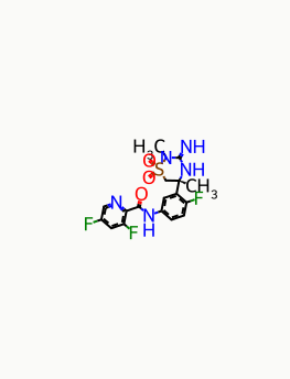 CN1C(=N)N[C@](C)(c2cc(NC(=O)c3ncc(F)cc3F)ccc2F)CS1(=O)=O